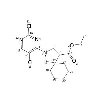 CCOC(=O)C1CN(c2nc(Cl)ncc2Cl)CC12CCCCC2